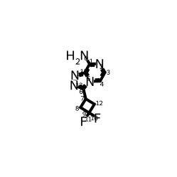 Nc1nccn2c(C3CC(F)(F)C3)nnc12